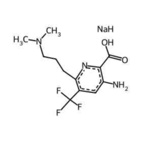 CN(C)CCCc1nc(C(=O)O)c(N)cc1C(F)(F)F.[NaH]